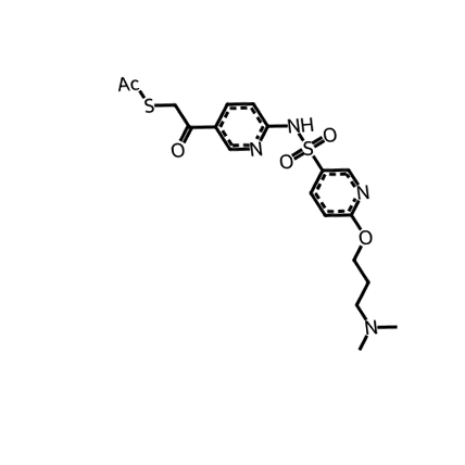 CC(=O)SCC(=O)c1ccc(NS(=O)(=O)c2ccc(OCCCN(C)C)nc2)nc1